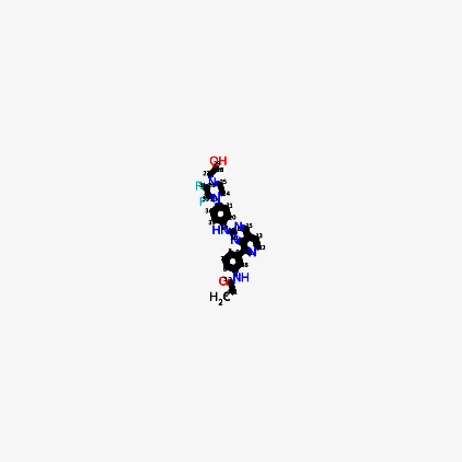 C=CC(=O)Nc1cccc(-c2nccc3cnc(Nc4ccc(N5CCN(CCO)C(F)C5F)cc4)nc23)c1